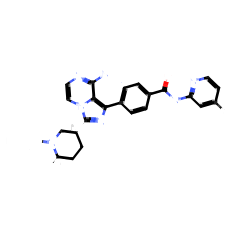 CCOC(=O)N1C[C@H](c2nc(-c3ccc(C(=O)Nc4cc(C(F)(F)F)ccn4)cc3)c3c(N)nccn23)CC[C@H]1C